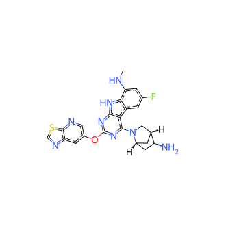 CNc1cc(F)cc2c1[nH]c1nc(Oc3cnc4scnc4c3)nc(N3C[C@H]4C[C@@H]3C[C@@H]4N)c12